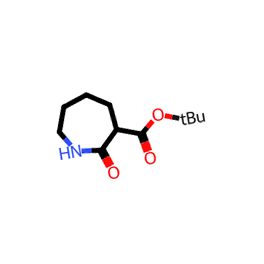 CC(C)(C)OC(=O)C1CCCCNC1=O